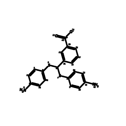 Nc1ccc(SC(Sc2ccc(N)cc2)c2cccc([N+](=O)[O-])c2)cc1